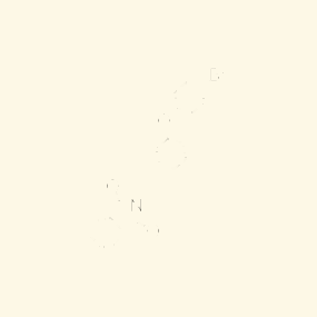 CC(CCN1C(=O)c2ccccc2C1=O)c1ccc(Oc2ccc(Br)cc2)cc1